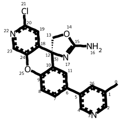 Cc1cncc(-c2ccc3c(c2)[C@@]2(COC(N)=N2)c2cc(Cl)ncc2O3)c1